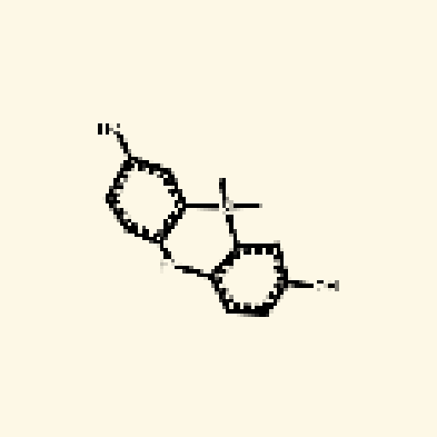 C[Si]1(C)c2cc(O)ccc2Nc2ccc(O)cc21